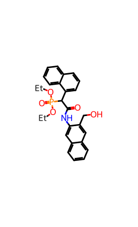 CCOP(=O)(OCC)C(C(=O)Nc1cc2ccccc2cc1CO)c1cccc2ccccc12